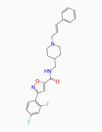 O=C(NCC1CCN(CC=Cc2ccccc2)CC1)c1cc(-c2ccc(F)cc2F)no1